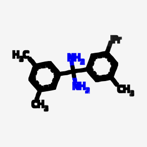 Cc1cc(C)cc(C(N)(N)c2cc(C)cc(C(C)C)c2)c1